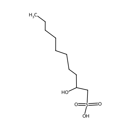 CCCCCCCCC(O)CS(=O)(=O)O